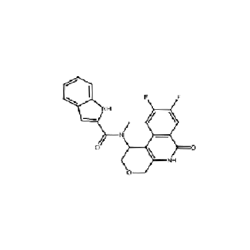 CN(C(=O)c1cc2ccccc2[nH]1)C1COCc2[nH]c(=O)c3cc(F)c(F)cc3c21